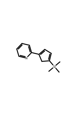 C[Si](C)(C)C1=CC=C(c2ccccn2)C1